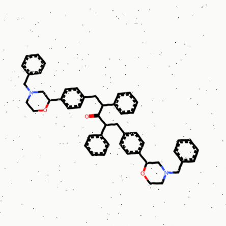 O=C(C(Cc1ccc(C2CN(Cc3ccccc3)CCO2)cc1)c1ccccc1)C(Cc1ccc(C2CN(Cc3ccccc3)CCO2)cc1)c1ccccc1